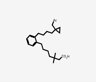 CC(=O)CC1(CCCCc2ccccc2CCCCC(C)(C)CC(=O)O)CC1